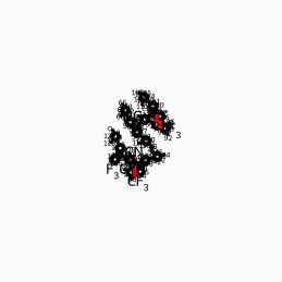 Cc1ccc(-c2ccc3c(c2)c2ccccc2n3-c2cc(-c3ccc(C(F)(F)F)cc3C(F)(F)F)c(-n3c4ccccc4c4cc(-c5ccc(C)cc5CCc5ccc(-c6ccc7c8ccc(-c9ccc(C)cc9C)cc8n(-c8cc(-c9ccc(C(F)(F)F)cc9C(F)(F)F)c(-n9c%10cc(-c%11ccc(C)cc%11C)ccc%10c%10ccc(-c%11ccc(C)cc%11C)cc%109)cc8C#N)c7c6)c(C)c5)ccc43)cc2C#N)c(C)c1